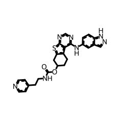 O=C(NCCc1ccncc1)OC1CCc2c(sc3ncnc(Nc4ccc5[nH]ncc5c4)c23)C1